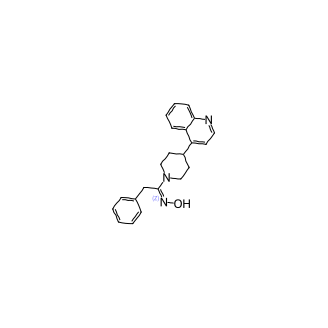 O/N=C(/Cc1ccccc1)N1CCC(c2ccnc3ccccc23)CC1